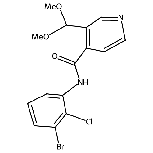 COC(OC)c1cnccc1C(=O)Nc1cccc(Br)c1Cl